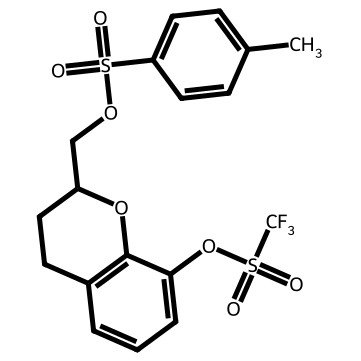 Cc1ccc(S(=O)(=O)OCC2CCc3cccc(OS(=O)(=O)C(F)(F)F)c3O2)cc1